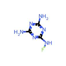 Nc1nc(N)nc(NF)n1